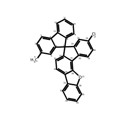 Cc1ccc2c(c1)C1(c3ccccc3-2)c2cc(Cl)ccc2-c2c1ccc1c2oc2ccccc21